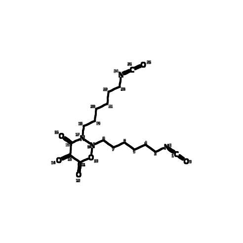 O=C=NCCCCCCn1oc(=O)c(=O)c(=O)n1CCCCCCN=C=O